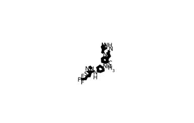 Cc1c(NC2CCC(Nc3ncnc4sc(CC(F)(F)F)cc34)CC2)ccc2c1cc(C#N)n2Cc1cn[nH]c1